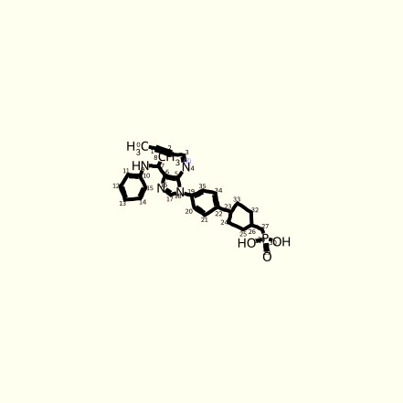 CC#C/C=N\c1c(C(C)Nc2ccccc2)ncn1-c1ccc(C2CCC(CP(=O)(O)O)CC2)cc1